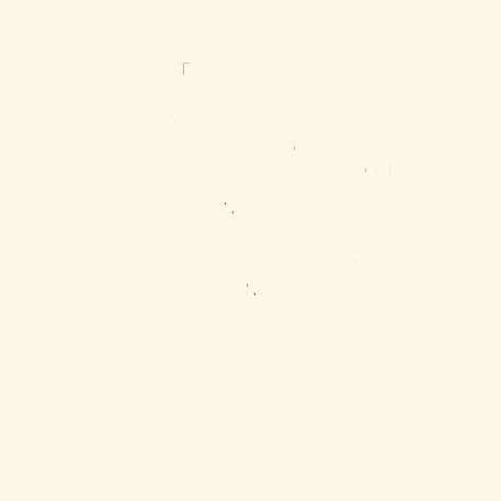 O=C(O)c1ccc(C2CCC2)nc1N1CCCC(F)(F)CC1